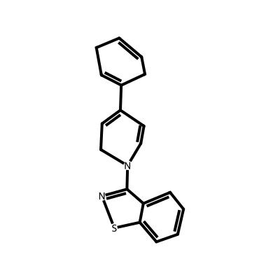 C1=CCC(C2=CCN(c3nsc4ccccc34)C=C2)=CC1